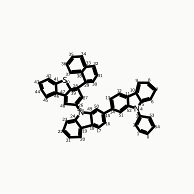 c1ccc(-n2c3ccccc3c3ccc(-c4ccc5c6ccccc6n(-c6cc(-c7cccc8ccccc78)c7sc8ccccc8c7c6)c5c4)cc32)cc1